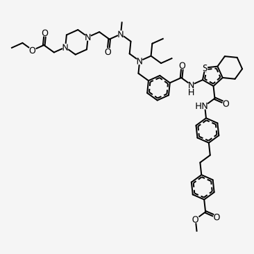 CCOC(=O)CN1CCN(CC(=O)N(C)CCN(Cc2cccc(C(=O)Nc3sc4c(c3C(=O)Nc3ccc(CCc5ccc(C(=O)OC)cc5)cc3)CCCC4)c2)C(CC)CC)CC1